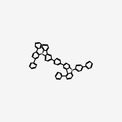 c1ccc(-c2ccc(-n3c4ccc(-c5ccc(-c6ccc7c(c6)c6ccccc6n7-c6cc(-c7ccccc7)ccc6-c6ccccc6)cc5)cc4c4c(-c5ccccc5)cccc43)cc2)cc1